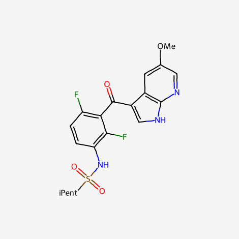 CCCC(C)S(=O)(=O)Nc1ccc(F)c(C(=O)c2c[nH]c3ncc(OC)cc23)c1F